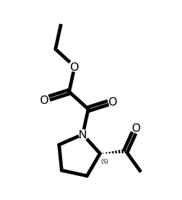 CCOC(=O)C(=O)N1CCC[C@H]1C(C)=O